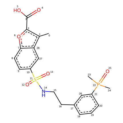 Cc1c(C(=O)O)oc2ccc(S(=O)(=O)NCCc3cccc(P(C)(C)=O)c3)cc12